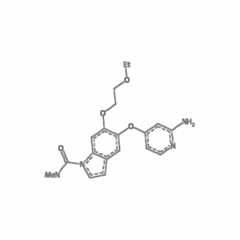 CCOCCOc1cc2c(ccn2C(=O)NC)cc1Oc1ccnc(N)c1